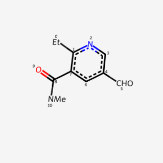 CCc1ncc(C=O)cc1C(=O)NC